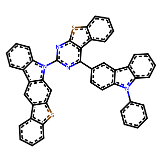 c1ccc(-n2c3ccccc3c3cc(-c4nc(-n5c6ccccc6c6cc7c(cc65)sc5ccccc57)nc5sc6ccccc6c45)ccc32)cc1